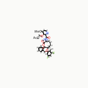 COc1ccnc(C(=O)N[C@H]2CCC[C@H](Cc3ccc(F)cc3F)[C@@H](OCc3ccccc3)[C@H](C)OC2=O)c1OCOC(C)=O